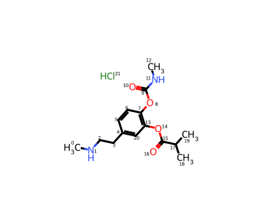 CNCCc1ccc(OC(=O)NC)c(OC(=O)C(C)C)c1.Cl